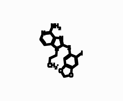 [CH2]CCn1c(Sc2cc3c(cc2I)OCO3)nc2c(N)nccc21